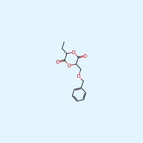 CCC1OC(=O)C(COCc2ccccc2)OC1=O